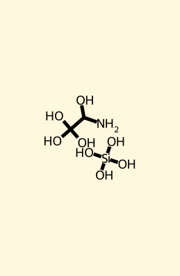 NC(O)C(O)(O)O.O[Si](O)(O)O